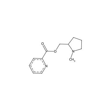 CN1CCCC1COC(=O)c1ccccn1